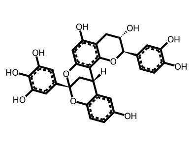 Oc1ccc2c(c1)[C@@H]1C[C@](c3cc(O)c(O)c(O)c3)(O2)Oc2cc(O)c3c(c21)O[C@H](c1ccc(O)c(O)c1)[C@@H](O)C3